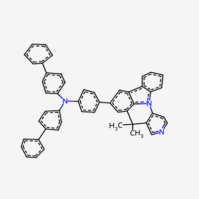 CC1(C)c2cnccc2-n2c3ccccc3c3cc(-c4ccc(N(c5ccc(-c6ccccc6)cc5)c5ccc(-c6ccccc6)cc5)cc4)cc1c32